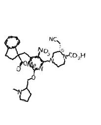 COC(=O)C1(Cc2nc(OCC3CCCN3C)nc(N3CCN(C(=O)O)[C@@H](CC#N)C3)c2[N+](=O)[O-])CCc2ccccc21